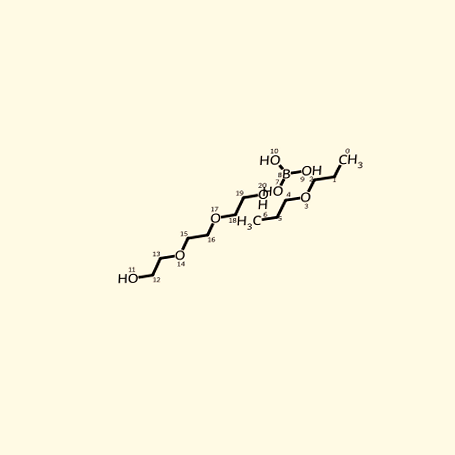 CCCOCCC.OB(O)O.OCCOCCOCCO